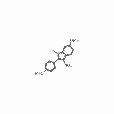 CCn1c(-c2ccc(OC)cc2)c([N+](=O)[O-])c2ccc(OC)cc21